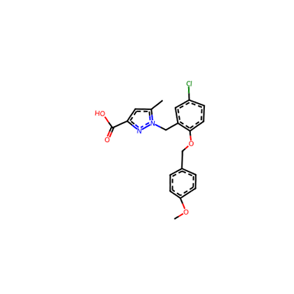 COc1ccc(COc2ccc(Cl)cc2Cn2nc(C(=O)O)cc2C)cc1